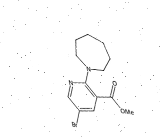 COC(=O)c1cc(Br)cnc1N1CCCCCC1